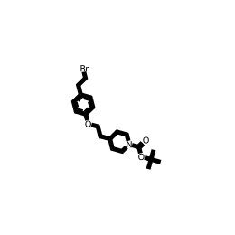 CC(C)(C)OC(=O)N1CCC(CCOc2ccc(CCBr)cc2)CC1